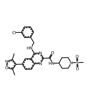 Cc1noc(C)c1-c1ccc2nc(C(=O)NC3CCN(S(C)(=O)=O)CC3)nc(NCc3cccc(Cl)c3)c2c1